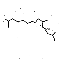 CC(C)CCCCCCCC(C)CNCC(C)C